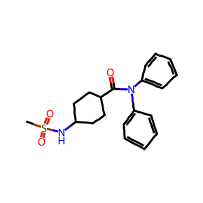 CS(=O)(=O)NC1CCC(C(=O)N(c2ccccc2)c2ccccc2)CC1